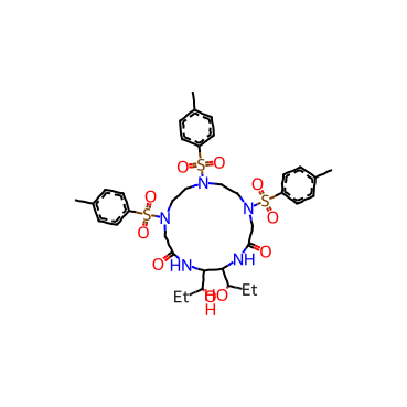 CCC(O)C1NC(=O)CN(S(=O)(=O)c2ccc(C)cc2)CCN(S(=O)(=O)c2ccc(C)cc2)CCN(S(=O)(=O)c2ccc(C)cc2)CC(=O)NC1C(O)CC